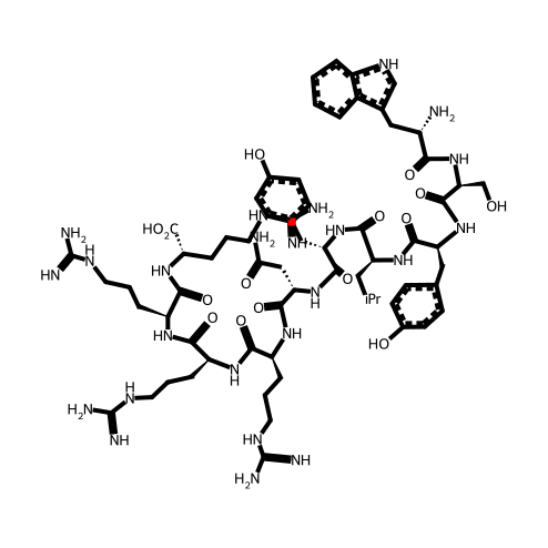 CC(C)C[C@H](NC(=O)[C@H](Cc1ccc(O)cc1)NC(=O)[C@H](CO)NC(=O)[C@@H](N)Cc1c[nH]c2ccccc12)C(=O)N[C@@H](Cc1ccc(O)cc1)C(=O)N[C@@H](CC(N)=O)C(=O)N[C@@H](CCCNC(=N)N)C(=O)N[C@@H](CCCNC(=N)N)C(=O)N[C@@H](CCCNC(=N)N)C(=O)N[C@@H](CCCNC(=N)N)C(=O)O